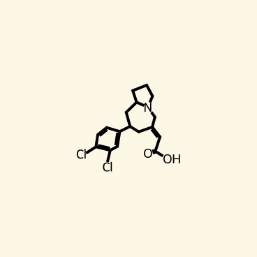 O=C(O)C=C1CC(c2ccc(Cl)c(Cl)c2)CC2CCCN2C1